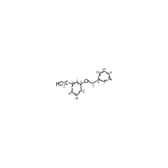 O=C(O)c1[c]c(OCc2ccccc2)ccc1